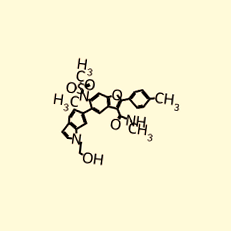 CNC(=O)c1c(-c2ccc(C)cc2)oc2cc(N(C)S(C)(=O)=O)c(-c3ccc4ccn(CCO)c4c3)cc12